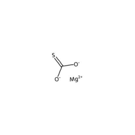 [Mg+2].[O-]C([O-])=S